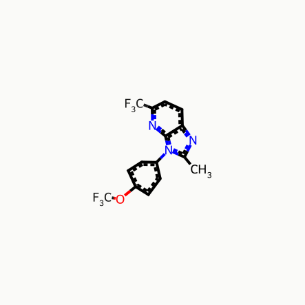 Cc1nc2ccc(C(F)(F)F)nc2n1-c1ccc(OC(F)(F)F)cc1